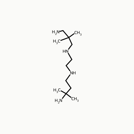 CC(C)(N)CCNCCNCC(C)(C)CN